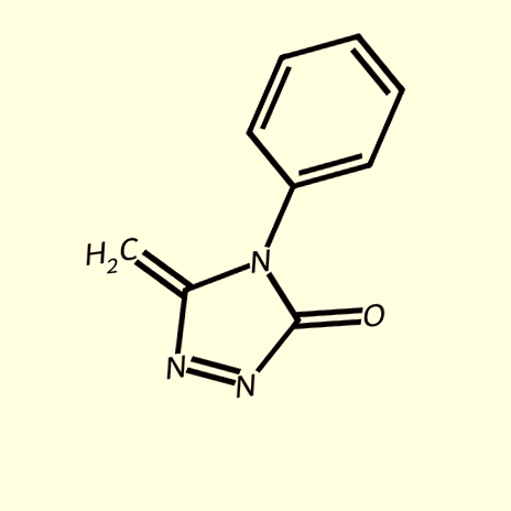 C=C1N=NC(=O)N1c1ccccc1